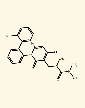 CCCCc1cc(C)c(CN(C)C(=O)N(C)C)c(=O)n1-c1ccccc1-c1ccccc1C#N